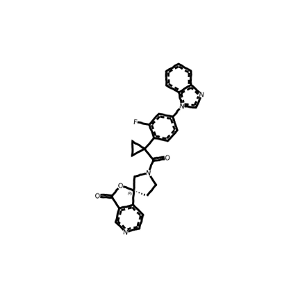 O=C1O[C@]2(CCN(C(=O)C3(c4ccc(-n5cnc6ccccc65)cc4F)CC3)C2)c2ccncc21